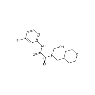 CCc1ccnc(NC(=O)[C@H](CC)N(CO)CC2CCOCC2)c1